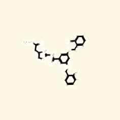 CNC(=O)CC1CSC(NC(=O)c2cc(OCc3ccccc3Cl)cc(OCc3ccccc3Cl)c2)=N1